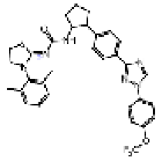 Cc1cccc(C)c1N1CCS/C1=N\C(=O)NC1CCCC1c1ccc(-c2ncn(-c3ccc(OC(F)(F)F)cc3)n2)cc1